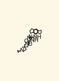 O=S(=O)(c1nnc(Nc2c3c(cc4c2CCC4)CCC3)[nH]1)N1CC2(CCN(C3CC3)C2)C1